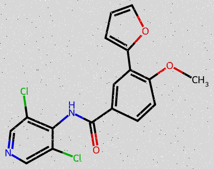 COc1ccc(C(=O)Nc2c(Cl)cncc2Cl)cc1-c1ccco1